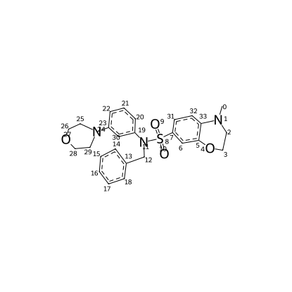 CN1CCOc2cc(S(=O)(=O)N(Cc3ccccc3)c3cccc(N4CCOCC4)c3)ccc21